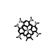 CC1=C(C)C(C)C([Si](c2c(C)c(N(C)C)cc(N(C)C)c2C)(c2c(C)c(N(C)C)cc(N(C)C)c2C)c2c(C)c(N(C)C)cc(N(C)C)c2C)=C1C